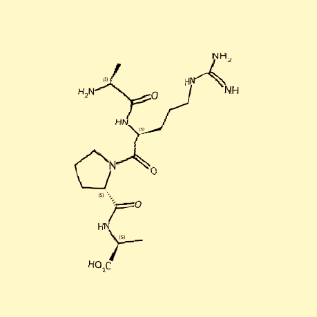 C[C@H](N)C(=O)N[C@@H](CCCNC(=N)N)C(=O)N1CCC[C@H]1C(=O)N[C@@H](C)C(=O)O